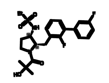 CCS(=O)(=O)N[C@H]1CCN(C(=O)C(C)(C)O)[C@H]1Cc1cccc(-c2cccc(F)c2)c1F